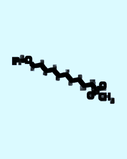 CC(C)OCCCCCCCCCCS(C)(=O)=O